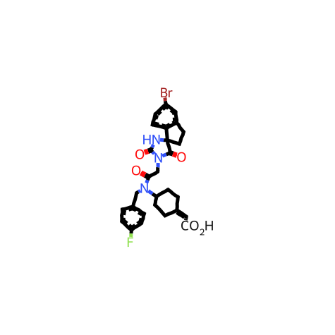 O=C(O)C=C1CCC(N(Cc2ccc(F)cc2)C(=O)CN2C(=O)NC3(CCc4cc(Br)ccc43)C2=O)CC1